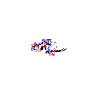 CCCCCCCCCCCCCCCC(=O)NCC(=O)N[C@@H](CO)C(=O)NCC(=O)N[C@@H](Cc1ccc(O)cc1)C(=O)N[C@@H](CCC(N)=O)C(=O)N[C@@H](CCCCC)C(=O)N[C@@H](CCCCC)C(=O)N[C@@H](CC(C)C)C(=O)N[C@@H](CCCC)C(=O)N[C@@H](CO)C(=O)N[C@@H](CO)C(=O)N[C@H](C(=O)N[C@@H](CC(=O)O)C(C)=O)[C@@H](C)O